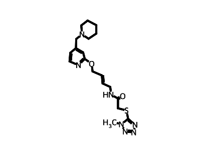 Cn1nnnc1SCC(=O)NCC=CCOc1cc(CN2CCCCC2)ccn1